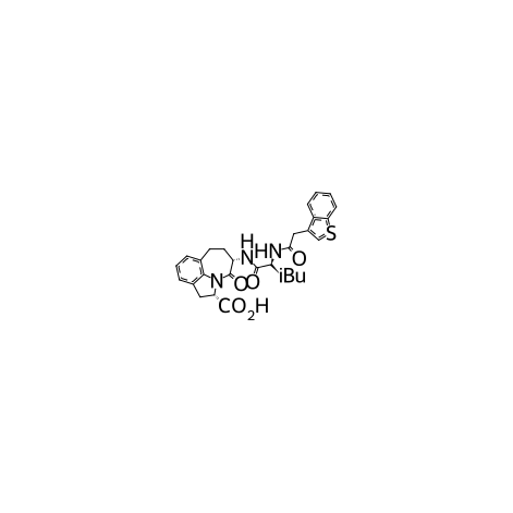 CC[C@H](C)[C@H](NC(=O)Cc1csc2ccccc12)C(=O)N[C@H]1CCc2cccc3c2N(C1=O)[C@H](C(=O)O)C3